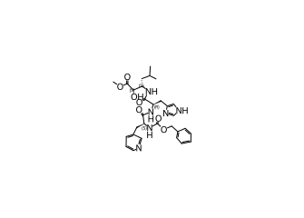 COC(=O)[C@@H](O)[C@H](CC(C)C)NC(=O)[C@@H](Cc1c[nH]cn1)NC(=O)[C@H](Cc1cccnc1)NC(=O)OCc1ccccc1